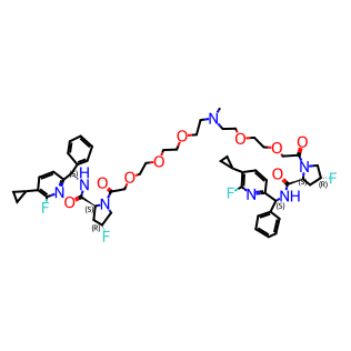 CN(CCOCCOCCOCC(=O)N1C[C@H](F)C[C@H]1C(=O)N[C@@H](c1ccccc1)c1ccc(C2CC2)c(F)n1)CCOCCOCC(=O)N1C[C@H](F)C[C@H]1C(=O)N[C@@H](c1ccccc1)c1ccc(C2CC2)c(F)n1